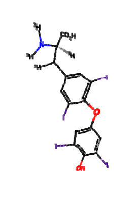 [3H]C(c1cc(I)c(Oc2cc(I)c(O)c(I)c2)c(I)c1)[C@]([3H])(C(=O)O)N([3H])[3H]